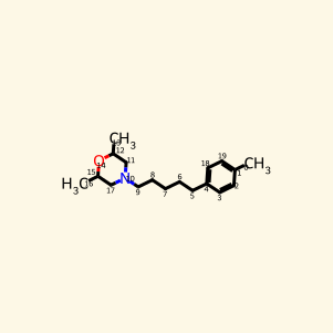 Cc1ccc(CCCCCN2CC(C)OC(C)C2)cc1